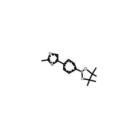 Cc1nc(-c2ccc(B3OC(C)(C)C(C)(C)O3)cc2)co1